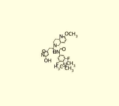 COc1ccc2c(n1)CCN(C(=O)Cc1cc(O)no1)[C@H]2C(=O)Nc1cc(F)c([Si](C)(C)C)c(F)c1